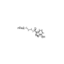 CCCCCCCCCCCCCCC(=O)n1nnc2c(O)cccc21